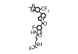 Cc1nc2cc(-c3cccn4c(C(=O)c5cc(F)c(NC(=O)/C=C/CNC(C)(C)CF)c(F)c5)ccc34)c(C(F)(F)F)cc2n1C